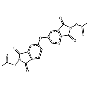 CC(=O)ON1C(=O)c2ccc(Oc3ccc4c(c3)C(=O)N(OC(C)=O)C4=O)cc2C1=O